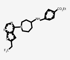 CCOC(=O)c1ccc(CNC2CCCN(c3ncnc4sc(CC(F)(F)F)cc34)CC2)cc1